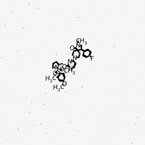 COc1cc(C)c(S(=O)(=O)N2CCC[C@H]2COc2nccc(N3CCC4(CC3)C(=O)N(C)CC4c3ccc(F)cc3)n2)c(C)c1